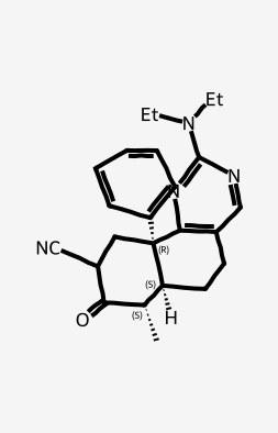 CCN(CC)c1ncc2c(n1)[C@]1(c3ccccc3)CC(C#N)C(=O)[C@@H](C)[C@@H]1CC2